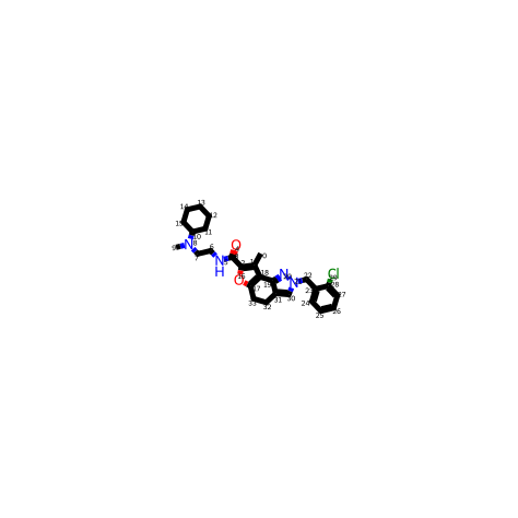 Cc1c(C(=O)NCCN(C)C2CCCCC2)oc2c1-c1nn(Cc3ccccc3Cl)cc1CC2